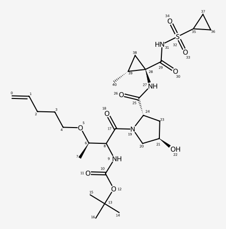 C=CCCCO[C@H](C)C(NC(=O)OC(C)(C)C)C(=O)N1C[C@H](O)C[C@H]1C(=O)N[C@]1(C(=O)NS(=O)(=O)C2CC2)C[C@H]1C